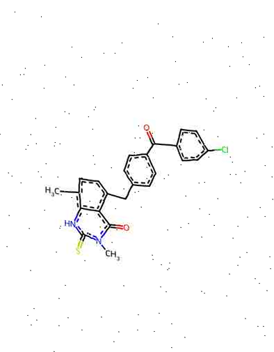 Cc1ccc(Cc2ccc(C(=O)c3ccc(Cl)cc3)cc2)c2c(=O)n(C)c(=S)[nH]c12